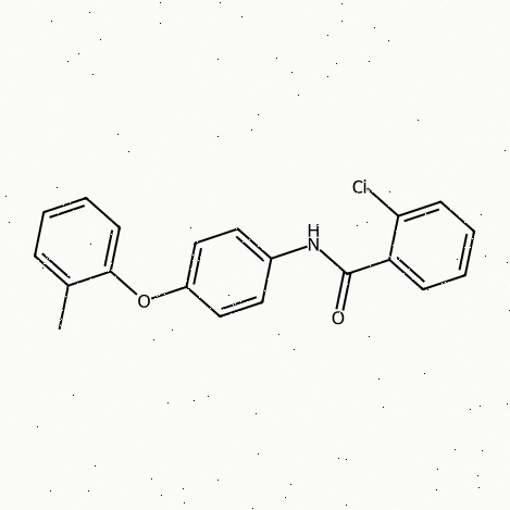 Cc1ccccc1Oc1ccc(NC(=O)c2ccccc2Cl)cc1